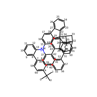 CC(C)(C)c1ccc(-c2ccccc2N(c2ccc3c(c2)C2(c4ccccc4-3)C3CC4CC5CC2C53C4)c2ccccc2-c2cccc3cccc(-c4ccccc4)c23)cc1